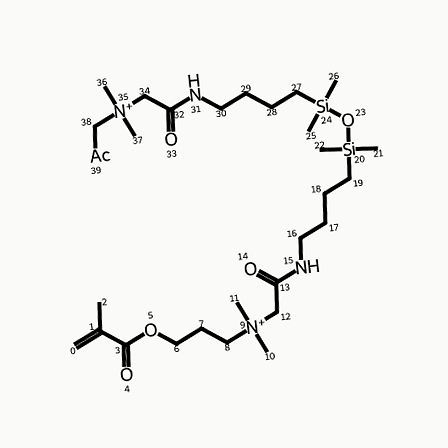 C=C(C)C(=O)OCCC[N+](C)(C)CC(=O)NCCCC[Si](C)(C)O[Si](C)(C)CCCCNC(=O)C[N+](C)(C)CC(C)=O